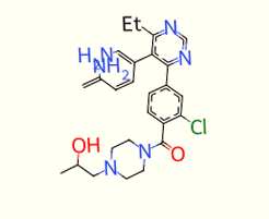 C=C(N)/C=C\C(=C/N)c1c(CC)ncnc1-c1ccc(C(=O)N2CCN(CC(C)O)CC2)c(Cl)c1